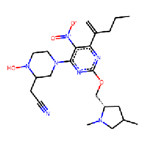 C=C(CCC)c1nc(OC[C@@H]2CC(C)CN2C)nc(N2CCN(O)C(CC#N)C2)c1[N+](=O)[O-]